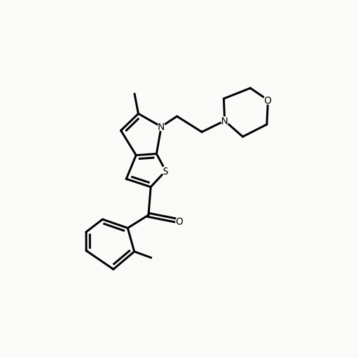 Cc1ccccc1C(=O)c1cc2cc(C)n(CCN3CCOCC3)c2s1